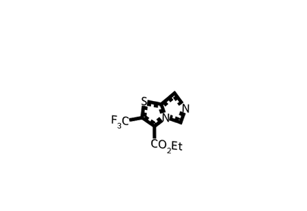 CCOC(=O)c1c(C(F)(F)F)sc2cncn12